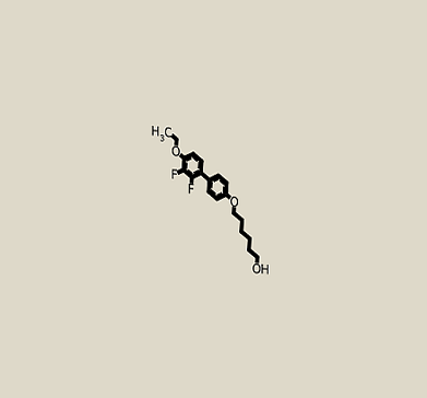 CCOc1ccc(-c2ccc(OCCCCCCO)cc2)c(F)c1F